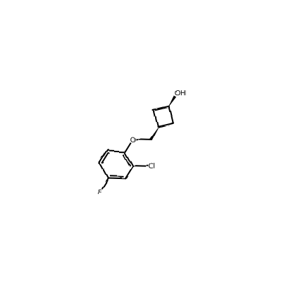 O[C@H]1C[C@@H](COc2ccc(F)cc2Cl)C1